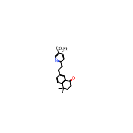 CCOC(=O)c1ccc(CCc2ccc3c(c2)C(=O)CCC3(C)C)nc1